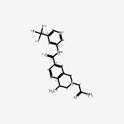 CC1CN(CC(N)=O)Cc2cc(C(=O)Nc3cncc(C(F)(F)F)c3)ccc21